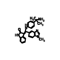 Cn1cnc2cc(/C(Nc3ccc(C(C)(C)N)cc3)=C3/C(=O)Nc4ccccc43)ccc21